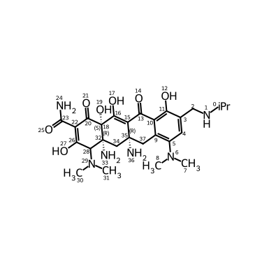 CC(C)NCc1cc(N(C)C)c2c(c1O)C(=O)C1=C(O)[C@]3(O)C(=O)C(C(N)=O)=C(O)C(N(C)C)[C@]3(N)C[C@]1(N)C2